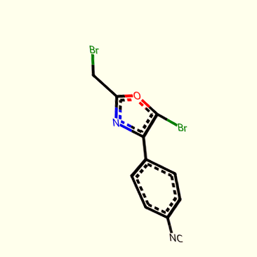 [C-]#[N+]c1ccc(-c2nc(CBr)oc2Br)cc1